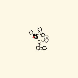 c1ccc(-c2ccc(-c3nc(-c4cccc5oc6ccccc6c45)nc(-c4cccc5oc6cc7c8ccccc8n(-c8ccccc8)c7cc6c45)n3)cc2)cc1